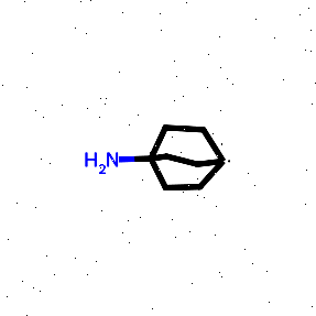 NC12CC[C](CC1)CC2